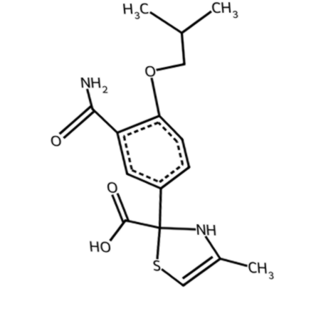 CC1=CSC(C(=O)O)(c2ccc(OCC(C)C)c(C(N)=O)c2)N1